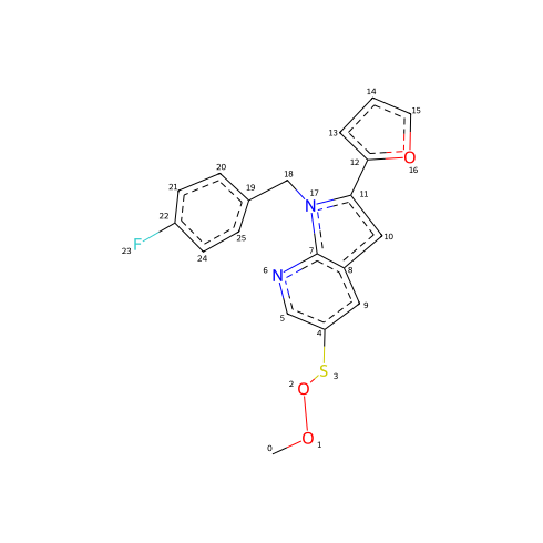 COOSc1cnc2c(c1)cc(-c1ccco1)n2Cc1ccc(F)cc1